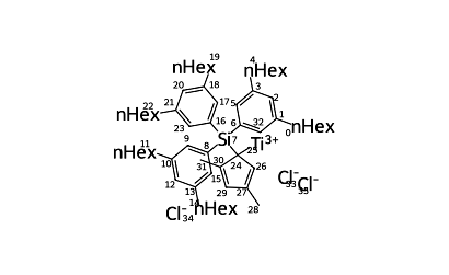 CCCCCCc1cc(CCCCCC)cc([Si](c2cc(CCCCCC)cc(CCCCCC)c2)(c2cc(CCCCCC)cc(CCCCCC)c2)[C]2([Ti+3])C=C(C)C=C2C)c1.[Cl-].[Cl-].[Cl-]